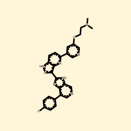 CN(C)CCOc1cncc(-c2ccc3[nH]nc(-c4nc5c(-c6ccc(F)cc6)cncc5[nH]4)c3n2)c1